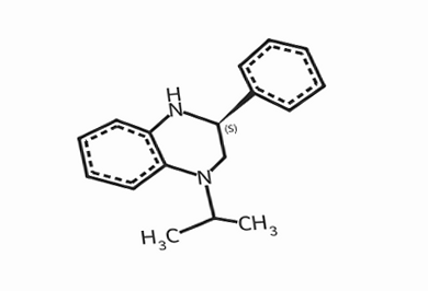 CC(C)N1C[C@H](c2ccccc2)Nc2ccccc21